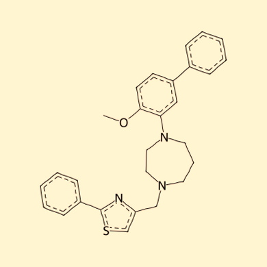 COc1ccc(-c2ccccc2)cc1N1CCCN(Cc2csc(-c3ccccc3)n2)CC1